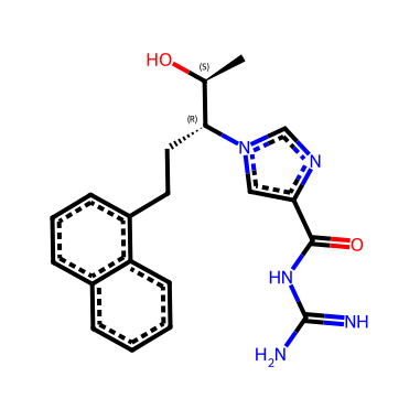 C[C@H](O)[C@@H](CCc1cccc2ccccc12)n1cnc(C(=O)NC(=N)N)c1